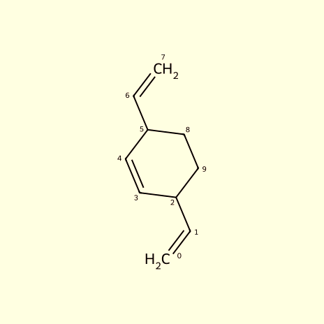 C=CC1C=CC(C=C)CC1